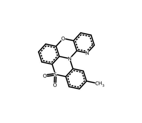 Cc1ccc2c(c1)N1c3ncccc3Oc3cccc(c31)S2(=O)=O